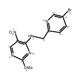 COc1ncc([N+](=O)[O-])c(NCc2ccc(Br)cn2)n1